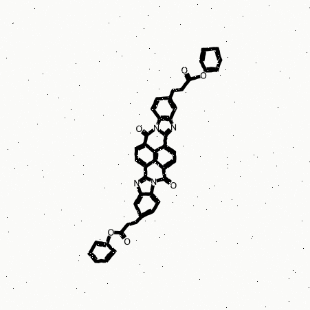 O=C(CCc1ccc2c(c1)nc1c3ccc4c(=O)n5c6ccc(CCC(=O)Oc7ccccc7)cc6nc5c5ccc(c(=O)n21)c3c45)Oc1ccccc1